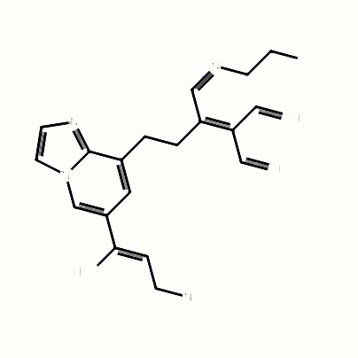 C=CC(C=C)=C(/C=N\CCC)CCc1cc(/C(C)=C/CN)cn2ccnc12